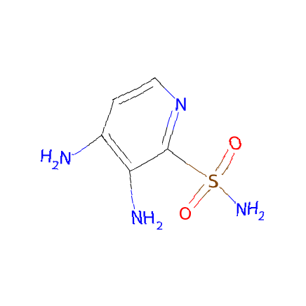 Nc1ccnc(S(N)(=O)=O)c1N